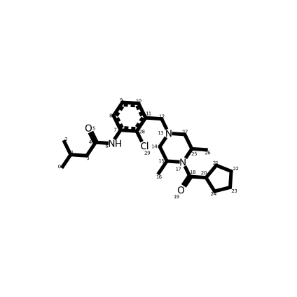 CC(C)CC(=O)Nc1cccc(CN2CC(C)N(C(=O)C3CCCC3)C(C)C2)c1Cl